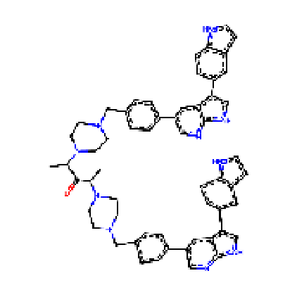 CC(C(=O)C(C)N1CCN(Cc2ccc(-c3cnc4[nH]cc(-c5ccc6[nH]ccc6c5)c4c3)cc2)CC1)N1CCN(Cc2ccc(-c3cnc4[nH]cc(-c5ccc6[nH]ccc6c5)c4c3)cc2)CC1